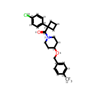 O=C(N1CCC(OCc2ccc(C(F)(F)F)cc2)CC1)C1(c2ccc(Cl)cc2)CCC1